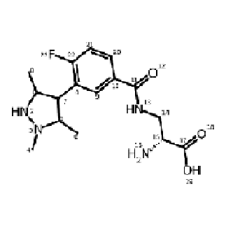 CC1NN(C)C(C)C1c1cc(C(=O)NC[C@@H](N)C(=O)O)ccc1F